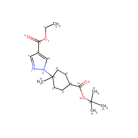 CCOC(=O)c1cnn(C2(C)CCC(C(=O)OC(C)(C)C)CC2)c1